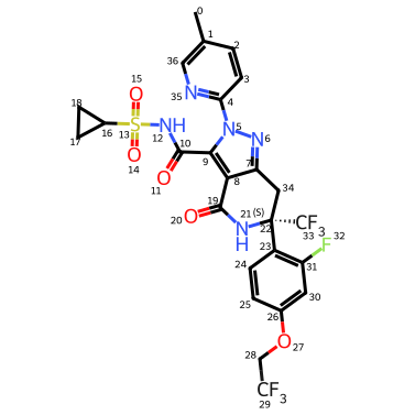 Cc1ccc(-n2nc3c(c2C(=O)NS(=O)(=O)C2CC2)C(=O)N[C@@](c2ccc(OCC(F)(F)F)cc2F)(C(F)(F)F)C3)nc1